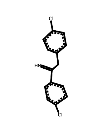 N=C(Cc1ccc(Cl)cc1)c1ccc(Cl)cc1